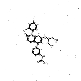 CC(=O)Nc1cccc(-c2nc(NC(CO)CO)nc3c2ccc(=O)n3-c2ccc(F)cc2F)c1